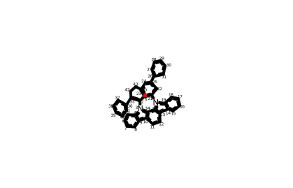 C1=CC(n2c3ccccc3c3ccc4c5ccccc5n(-c5cccc(-c6ccccc6)c5)c4c32)=C(c2ccccc2)CC1